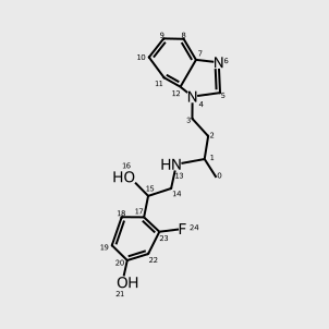 CC(CCn1cnc2ccccc21)NCC(O)c1ccc(O)cc1F